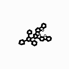 c1ccc(-c2cc(-c3ccccc3)c(-c3cc4c5ccc6c7ccccc7oc6c5n5c4c(c3)c3ccc4c6ccccc6oc4c35)c(-c3ccccc3)c2)cc1